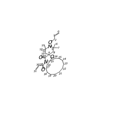 C=CCON1C(C)(C)CC2(CC1(C)C)OC1(CCCCCCCCCCC1)N(C(=O)C=C)C2=O